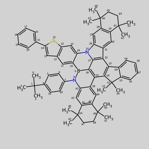 CC(C)(C)c1ccc(N2B3c4cc5cc(-c6ccccc6)sc5cc4-n4c5cc6c(cc5c5c7c(c(c3c54)-c3cc4c(cc32)C(C)(C)CCC4(C)C)C(C)(C)c2ccccc2-7)C(C)(C)CCC6(C)C)cc1